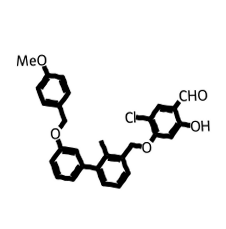 COc1ccc(COc2cccc(-c3cccc(COc4cc(O)c(C=O)cc4Cl)c3C)c2)cc1